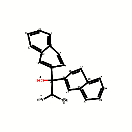 CCCCC(CCC)C(O)(c1ccc2ccccc2c1)c1ccc2ccccc2c1